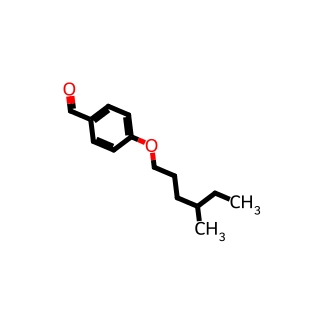 CCC(C)CCCOc1ccc(C=O)cc1